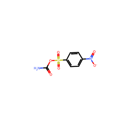 NC(=O)OS(=O)(=O)c1ccc([N+](=O)[O-])cc1